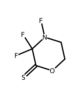 FN1CCOC(=S)C1(F)F